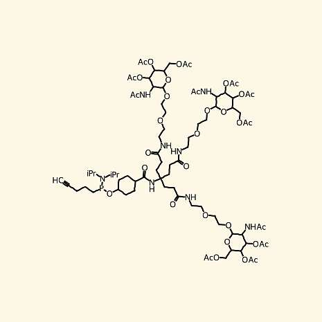 C#CCCCP(OC1CCC(C(=O)NC(CCC(=O)NCCOCCOC2OC(COC(C)=O)C(OC(C)=O)C(OC(C)=O)C2NC(C)=O)(CCC(=O)NCCOCCOC2OC(COC(C)=O)C(OC(C)=O)C(OC(C)=O)C2NC(C)=O)CCC(=O)NCCOCCOC2OC(COC(C)=O)C(OC(C)=O)C(OC(C)=O)C2NC(C)=O)CC1)N(C(C)C)C(C)C